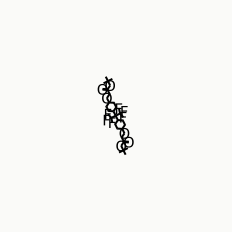 CC(C)(C)OC(=O)COC1CCC(C(C2CCC(OCC(=O)OC(C)(C)C)CC2)(C(F)(F)F)C(F)(F)F)CC1